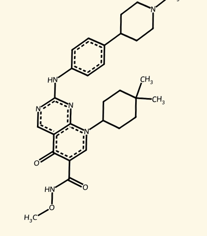 CONC(=O)c1cn(C2CCC(C)(C)CC2)c2nc(Nc3ccc(C4CCN(C)CC4)cc3)ncc2c1=O